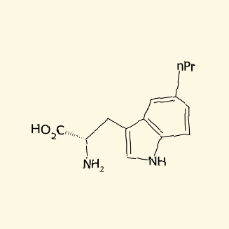 CCCc1ccc2[nH]cc(C[C@H](N)C(=O)O)c2c1